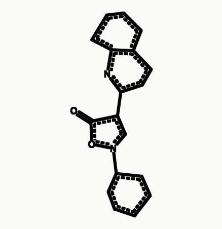 O=c1on(-c2ccccc2)cc1-c1ccc2ccccc2n1